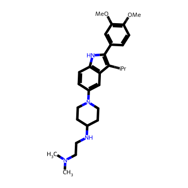 COc1ccc(-c2[nH]c3ccc(N4CCC(NCCN(C)C)CC4)cc3c2C(C)C)cc1OC